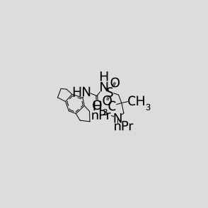 CCCN(CCC)CC(C)(C)CS(=O)(=O)NC(=O)Nc1c2c(cc3c1CCC3)CCC2